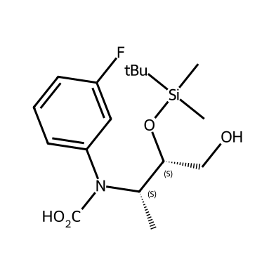 C[C@@H]([C@@H](CO)O[Si](C)(C)C(C)(C)C)N(C(=O)O)c1cccc(F)c1